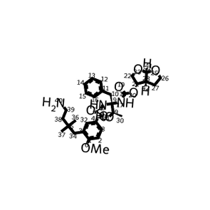 COc1ccc(S(=O)(=O)N[C@](Cc2ccccc2)(NC(=O)O[C@@H]2CO[C@@H]3OCC[C@@H]32)[C@@H](C)O)cc1CC(C)(C)CCN